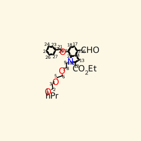 CCCOCCOCCOCCn1c(C(=O)OCC)cc2c(C=O)ccc(OCc3ccccc3)c21